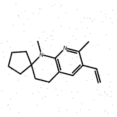 C=Cc1cc2c(nc1C)N(C)C1(CCCC1)CC2